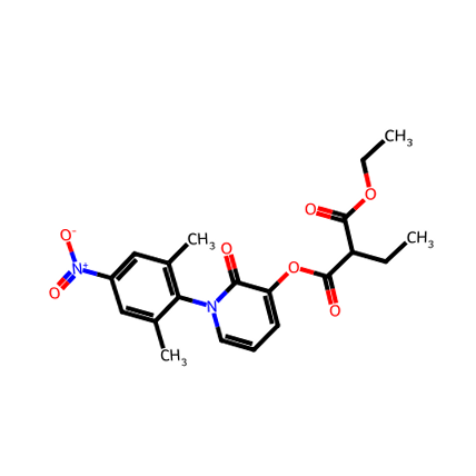 CCOC(=O)C(CC)C(=O)Oc1cccn(-c2c(C)cc([N+](=O)[O-])cc2C)c1=O